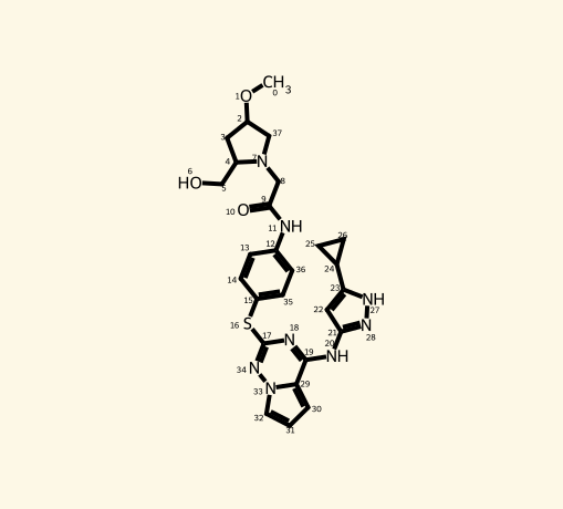 COC1CC(CO)N(CC(=O)Nc2ccc(Sc3nc(Nc4cc(C5CC5)[nH]n4)c4cccn4n3)cc2)C1